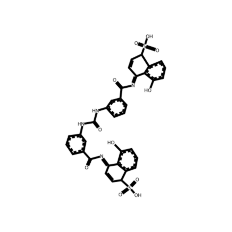 O=C(Nc1cccc(C(=O)N=C2C=CC(S(=O)(=O)O)c3cccc(O)c32)c1)Nc1cccc(C(=O)N=C2C=CC(S(=O)(=O)O)c3cccc(O)c32)c1